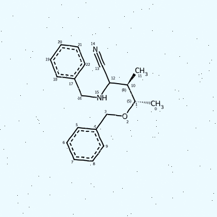 C[C@H](OCc1ccccc1)[C@H](C)C(C#N)NCc1ccccc1